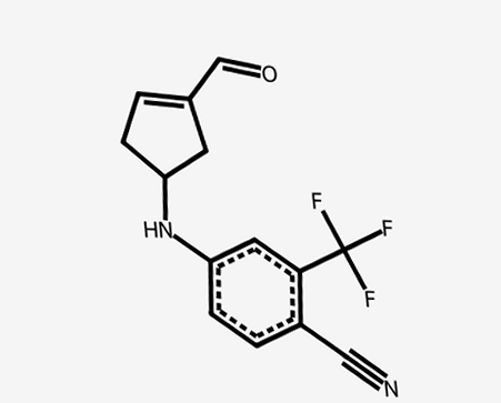 N#Cc1ccc(NC2CC=C(C=O)C2)cc1C(F)(F)F